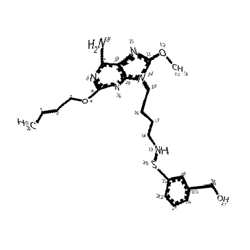 CCCCOc1nc(N)c2nc(OC)n(CCCCNSc3cccc(CO)c3)c2n1